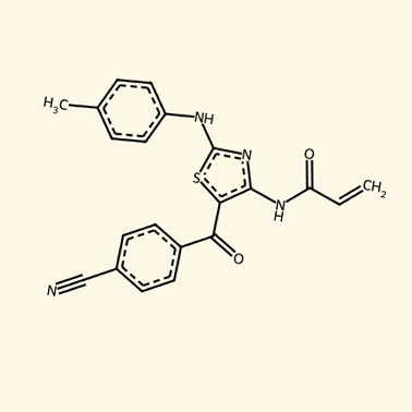 C=CC(=O)Nc1nc(Nc2ccc(C)cc2)sc1C(=O)c1ccc(C#N)cc1